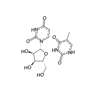 Cc1c[nH]c(=O)[nH]c1=O.O=c1ccn([C@@H]2O[C@H](CO)[C@@H](O)[C@H]2O)c(=O)[nH]1